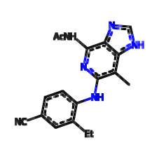 CCc1cc(C#N)ccc1Nc1nc(NC(C)=O)c2nc[nH]c2c1C